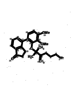 C=C(CCCC(C)C)C(C)(C)Oc1c(-c2cccc3c2CCC3=O)ccc(OC)c1OC